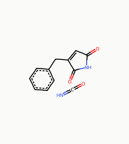 N=C=O.O=C1C=C(Cc2ccccc2)C(=O)N1